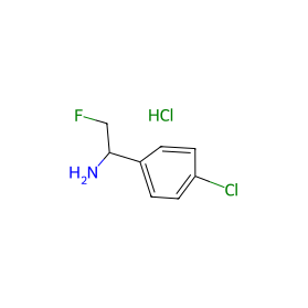 Cl.NC(CF)c1ccc(Cl)cc1